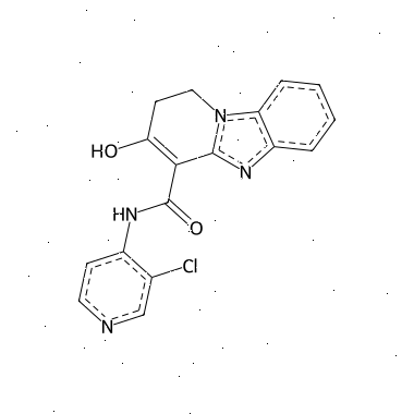 O=C(Nc1ccncc1Cl)C1=C(O)CCn2c1nc1ccccc12